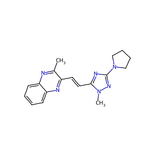 Cc1nc2ccccc2nc1C=Cc1nc(N2CCCC2)nn1C